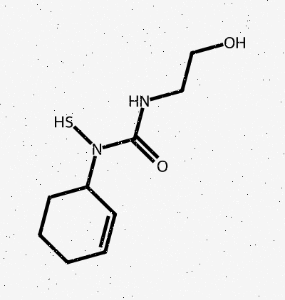 O=C(NCCO)N(S)C1C=CCCC1